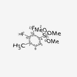 CO[Si](OC)(OC)c1ccc(C)c(F)c1F